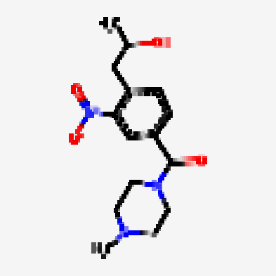 CC(O)Cc1ccc(C(=O)N2CCN(C)CC2)cc1[N+](=O)[O-]